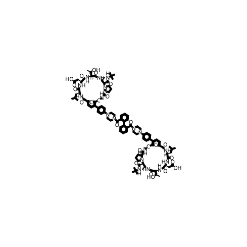 CC(C)C[C@@H]1NC(=O)c2ccc(-c3ccc(N4CCN(C(=O)c5ccccc5-c5ccccc5C(=O)N5CCN(c6ccc(-c7ccc8cc7CNC(=O)[C@@H]7CCCN7[C@H](C(=O)NC(C)(C)C)[C@H](C)NC(=O)[C@H]([C@@H](C)O)NC(=O)[C@H](CC(=O)O)NC(=O)[C@H](CC(C)C)NC8=O)cc6)CC5)CC4)cc3)c(c2)CNC(=O)N2CCCN2C(C(=O)NC(C)(C)C)[C@H](C)NC(=O)[C@H]([C@@H](C)O)NC(=O)[C@H](CC(=O)O)NC1=O